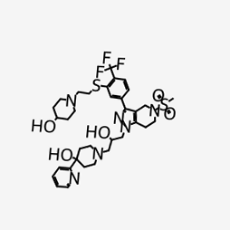 CS(=O)(=O)N1CCc2c(c(-c3ccc(C(F)(F)F)c(SCCN4CCC(O)CC4)c3)nn2CC(O)CN2CCC(O)(c3ccccn3)CC2)C1